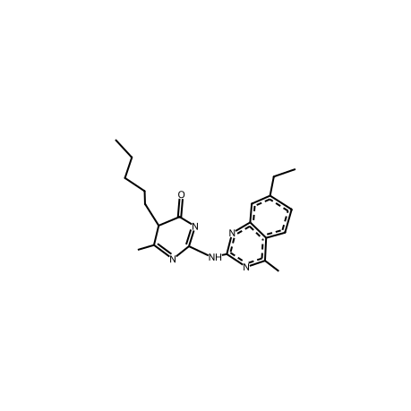 CCCCCC1C(=O)N=C(Nc2nc(C)c3ccc(CC)cc3n2)N=C1C